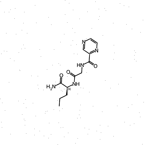 CCC[C@H](NC(=O)CNC(=O)c1cnccn1)C(N)=O